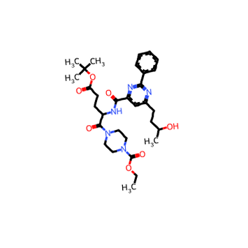 CCOC(=O)N1CCN(C(=O)C(CCC(=O)OC(C)(C)C)NC(=O)c2cc(CCC(C)O)nc(-c3ccccc3)n2)CC1